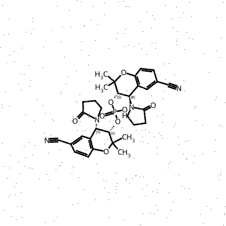 CC1(C)Oc2ccc(C#N)cc2[C@@H](N2CCCC2=O)[C@@H]1OP(=O)(O)O[C@H]1[C@@H](N2CCCC2=O)c2cc(C#N)ccc2OC1(C)C